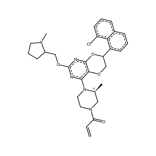 C=CC(=O)N1CCN(c2nc(OCC3CCCN3C)nc3c2OCC(c2cccc4cccc(Cl)c24)O3)[C@@H](C)C1